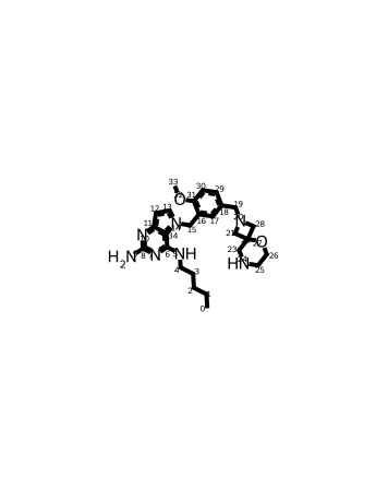 CCCCCNc1nc(N)nc2ccn(Cc3cc(CN4CC5(CNCCO5)C4)ccc3OC)c12